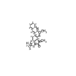 COc1nc2ccccc2cc1-c1ccc2c(c1F)n(C)c(=O)n2CC1(C)CC1